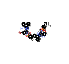 Cc1ccc(S(=O)(=O)n2c(C)c(-c3nc4c5ccc(-c6cc(S(=O)(=O)n7cc(-c8nc9c%10ccccc%10c%10ccccc%10c9[nH]8)c8cc(Br)ccc87)ccc6C)cc5c5ccccc5c4[nH]3)c3ccccc32)cc1